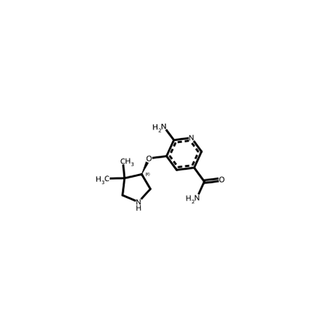 CC1(C)CNC[C@@H]1Oc1cc(C(N)=O)cnc1N